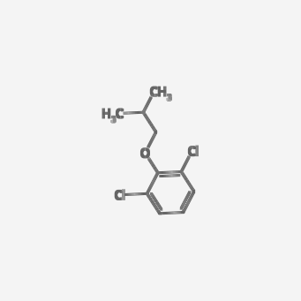 CC(C)COc1c(Cl)cccc1Cl